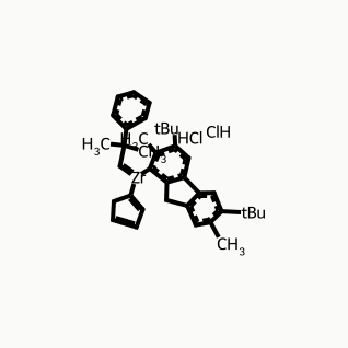 Cc1cc2c(cc1C(C)(C)C)-c1cc(C(C)(C)C)c(C)[c](/[Zr](=[CH]\C(C)(C)c3ccccc3)[C]3=CC=CC3)c1C2.Cl.Cl